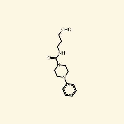 O=CCCCNC(=O)N1CCN(c2ccccc2)CC1